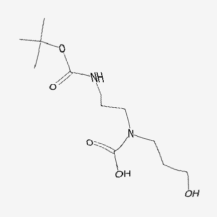 CC(C)(C)OC(=O)NCCN(CCCO)C(=O)O